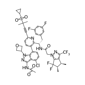 C[C@@H]1c2c(C(F)(F)F)nn(CC(=O)N[C@@H](Cc3cc(F)cc(F)c3)c3nc(C#CC(C)(C)S(=O)(=O)C4CC4)ccc3-c3ccc(Cl)c4c(NS(C)(=O)=O)nn(C5COC5)c34)c2C(F)(F)[C@@H]1C